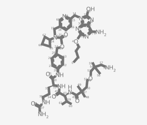 CCCCOc1nc(N)c2nc(O)n(Cc3ccc(CN(C(=O)OCc4ccc(NC(=O)[C@H](CCCNC(N)=O)NC(=O)[C@@H](NC(=O)C(C)(C)CCOCC(C)(C)CN)C(C)C)cc4)C4CCC4)cn3)c2n1